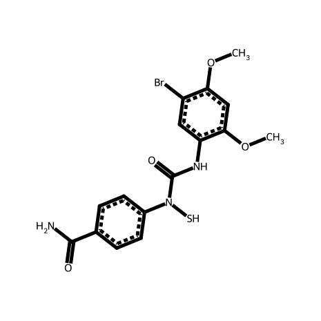 COc1cc(OC)c(NC(=O)N(S)c2ccc(C(N)=O)cc2)cc1Br